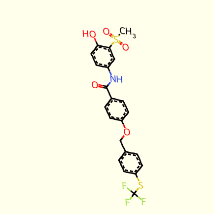 CS(=O)(=O)c1cc(NC(=O)c2ccc(OCc3ccc(SC(F)(F)F)cc3)cc2)ccc1O